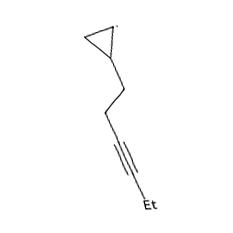 CCC#CCCC1[CH]C1